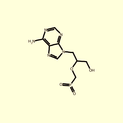 Nc1ncnc2c1ncn2CC(CO)OCP(=O)=O